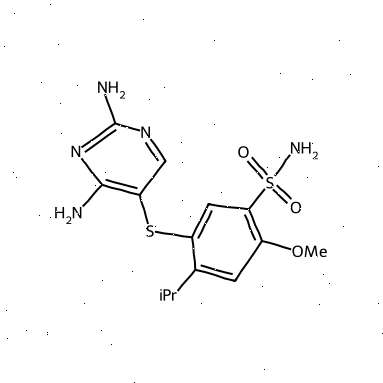 COc1cc(C(C)C)c(Sc2cnc(N)nc2N)cc1S(N)(=O)=O